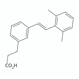 Cc1cccc(C)c1/C=C/c1cccc(CCC(=O)O)c1